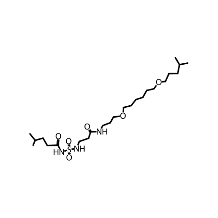 CC(C)CCCOCCCCCCOCCCNC(=O)CCNS(=O)(=O)NC(=O)CCC(C)C